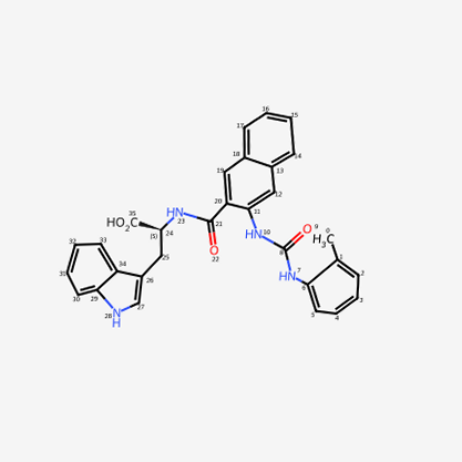 Cc1ccccc1NC(=O)Nc1cc2ccccc2cc1C(=O)N[C@@H](Cc1c[nH]c2ccccc12)C(=O)O